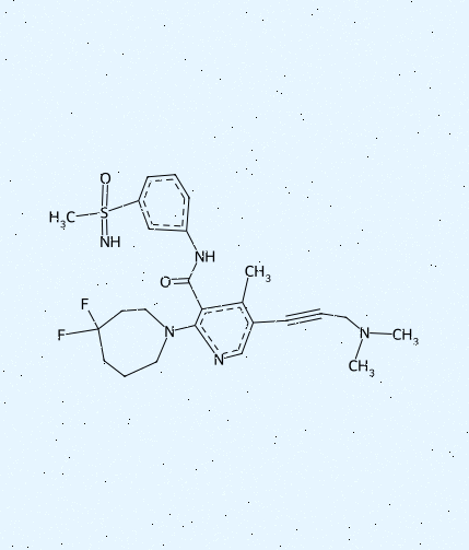 Cc1c(C#CCN(C)C)cnc(N2CCCC(F)(F)CC2)c1C(=O)Nc1cccc(S(C)(=N)=O)c1